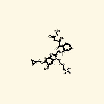 CC(C)(C)OC(=O)CC(=N)C(=O)c1ccccc1NCc1nc2cc(OCC3CC3)c(C#N)cc2n1COCCS(C)(C)C